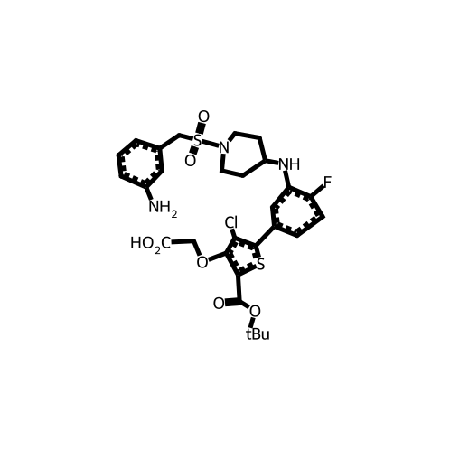 CC(C)(C)OC(=O)c1sc(-c2ccc(F)c(NC3CCN(S(=O)(=O)Cc4cccc(N)c4)CC3)c2)c(Cl)c1OCC(=O)O